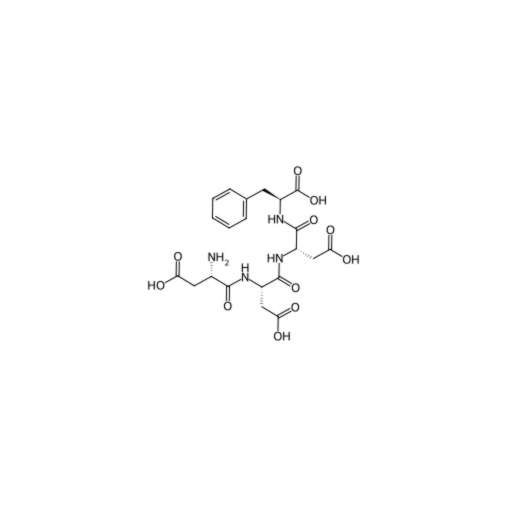 N[C@@H](CC(=O)O)C(=O)N[C@@H](CC(=O)O)C(=O)N[C@@H](CC(=O)O)C(=O)N[C@@H](Cc1ccccc1)C(=O)O